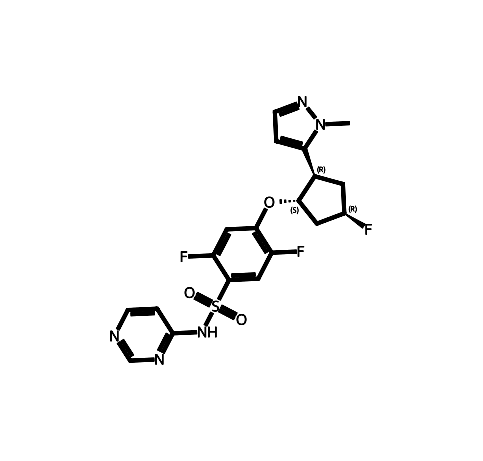 Cn1nccc1[C@H]1C[C@@H](F)C[C@@H]1Oc1cc(F)c(S(=O)(=O)Nc2ccncn2)cc1F